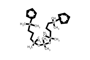 C[N+](C)(CCC[Si](C)(C)O[Si](C)(C)O[Si](C)(C)CCC[N+](C)(C)c1ccccc1)c1ccccc1